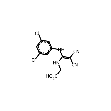 N#CC(C#N)=C(NCC(=O)O)Nc1cc(Cl)cc(Cl)c1